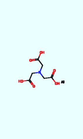 O=C(O)CN(CC(=O)O)CC(=O)O.[Al]